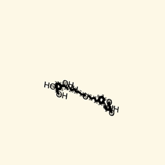 O=c1ccn(-c2cccc(CCCCOCCCCCCNC[C@@H](O)c3ccc(O)c(CO)c3)c2)c(=O)[nH]1